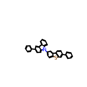 c1ccc(-c2ccc3c(c2)sc2ccc(-n4c5ccccc5c5cc(-c6ccccc6)ccc54)cc23)cc1